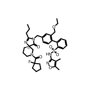 CCCC1=N[C@]2(CCCN(C(=O)C3(F)CCCC3)C2)C(=O)N1Cc1ccc(-c2ccccc2S(=O)(=O)Nc2noc(C)c2C)c(COCC)c1